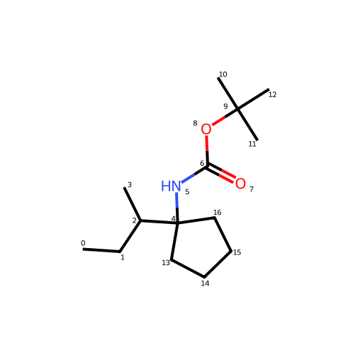 CCC(C)C1(NC(=O)OC(C)(C)C)CCCC1